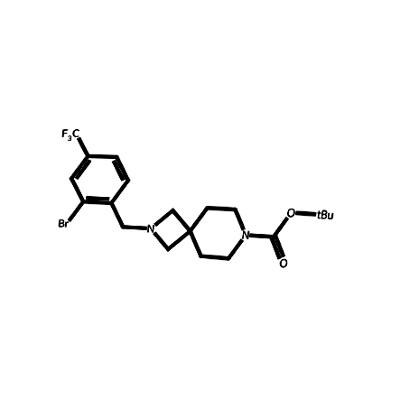 CC(C)(C)OC(=O)N1CCC2(CC1)CN(Cc1ccc(C(F)(F)F)cc1Br)C2